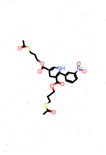 CC(=O)SCCCOC(=O)C1=CNC(c2cccc([N+](=O)[O-])c2)=C(C(=O)OCCCSC(C)=O)C1